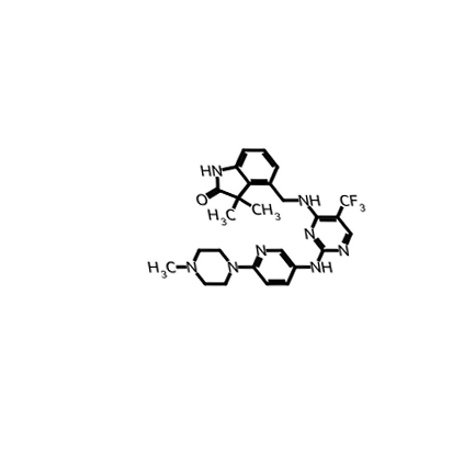 CN1CCN(c2ccc(Nc3ncc(C(F)(F)F)c(NCc4cccc5c4C(C)(C)C(=O)N5)n3)cn2)CC1